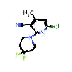 Cc1cc(Cl)nc(N2CCC(F)(F)CC2)c1C#N